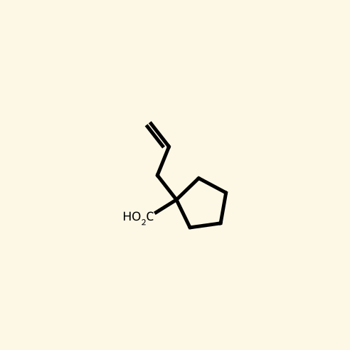 C=CCC1(C(=O)O)CCCC1